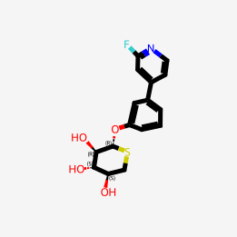 O[C@@H]1[C@@H](O)[C@H](Oc2cccc(-c3ccnc(F)c3)c2)SC[C@H]1O